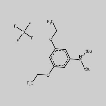 CC(C)(C)[PH+](c1cc(OCC(F)(F)F)cc(OCC(F)(F)F)c1)C(C)(C)C.F[B-](F)(F)F